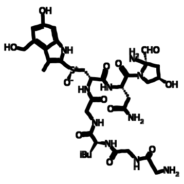 CC[C@H](C)[C@H](NC(=O)CNC(=O)CN)C(=O)NCC(=O)N[C@H](C[S@@+]([O-])c1[nH]c2cc(O)cc(CO)c2c1C)C(=O)N[C@@H](CC(N)=O)C(=O)N1C[C@H](O)C[C@@]1(N)C=O